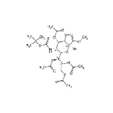 COC(=O)[C@@]1(Br)OC([C@H](OC(C)=O)[C@@H](COC(C)=O)OC(C)=O)[C@H](NC(=O)OC(C)(C)C)C(OC(C)=O)C1O